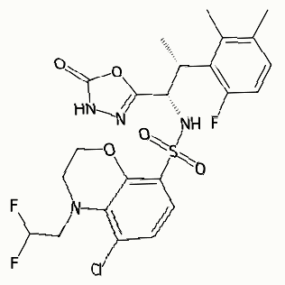 Cc1ccc(F)c([C@@H](C)[C@H](NS(=O)(=O)c2ccc(Cl)c3c2OCCN3CC(F)F)c2n[nH]c(=O)o2)c1C